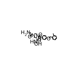 Cc1ccccc1COc1ccc(S(=O)(=O)N2CCN(C(=O)CN)[C@@H](C)[C@@H]2C(=O)NO)cc1